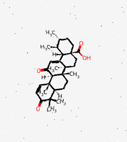 C[C@H]1[C@H](C)CC[C@]2(C(=O)O)CC[C@]3(C)C(=CC(=O)[C@@H]4[C@@]5(C)C=CC(=O)C(C)(C)[C@@H]5CC[C@]43C)[C@H]12